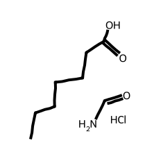 CCCCCCC(=O)O.Cl.NC=O